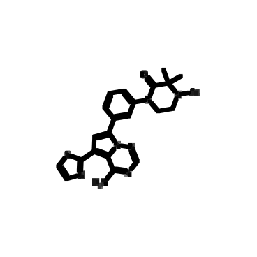 CC(=O)N1CCN(c2cccc(-c3cc(-c4nccs4)c4c(N)ncnn34)c2)C(=O)C1(C)C